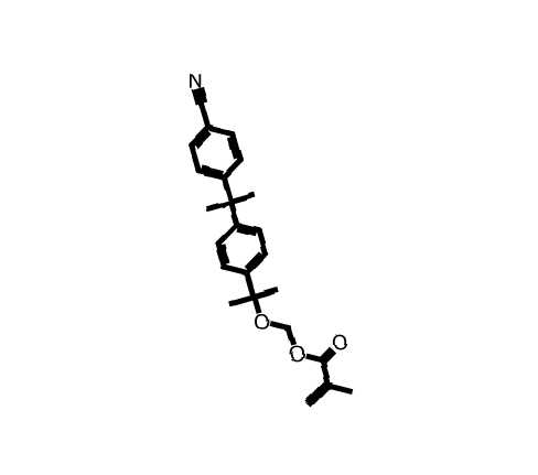 C=C(C)C(=O)OCOC(C)(C)c1ccc(C(C)(C)c2ccc(C#N)cc2)cc1